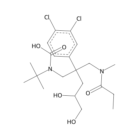 CCC(=O)N(C)CC(CC(O)CO)(CN(C(=O)O)C(C)(C)C)c1ccc(Cl)c(Cl)c1